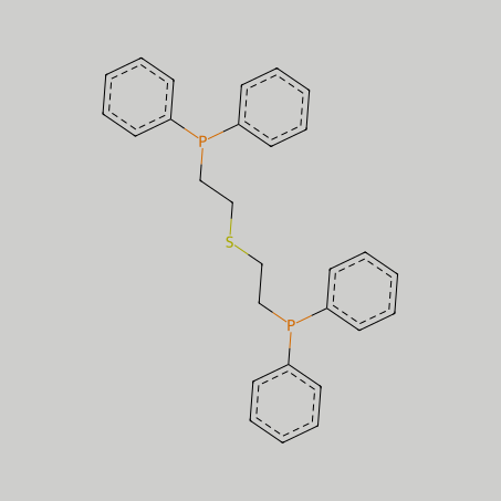 c1ccc(P(CCSCCP(c2ccccc2)c2ccccc2)c2ccccc2)cc1